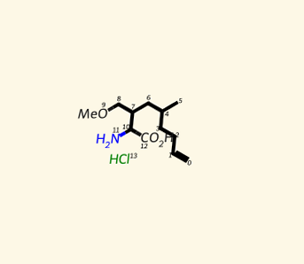 C=CCCC(C)CC(COC)C(N)C(=O)O.Cl